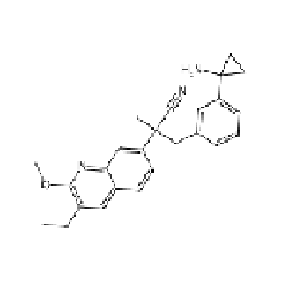 CCc1cc2ccc(C(C)(C#N)Cc3cccc(C4(N)CC4)c3)cc2nc1OC